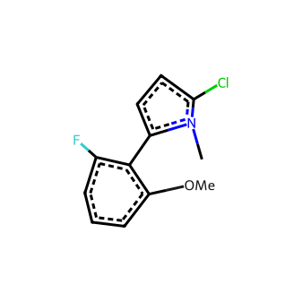 COc1cccc(F)c1-c1ccc(Cl)n1C